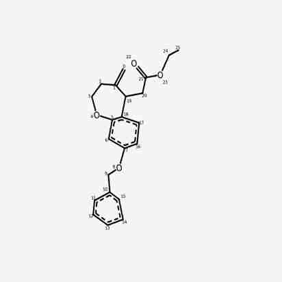 C=C1CCOc2cc(OCc3ccccc3)ccc2C1CC(=O)OCC